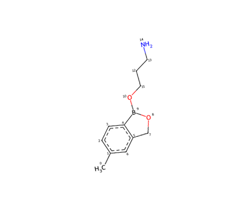 Cc1ccc2c(c1)COB2OCCCN